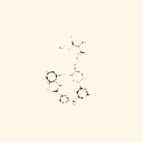 Cc1nc(Nc2ncc(C(=O)Nc3c(C)cccc3Cl)s2)cc(N2CCN(CCOC(=O)C(C(=O)OC(C)(C)C)C(C)C)CC2)n1